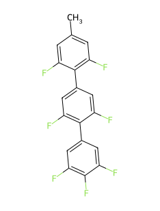 Cc1cc(F)c(-c2cc(F)c(-c3cc(F)c(F)c(F)c3)c(F)c2)c(F)c1